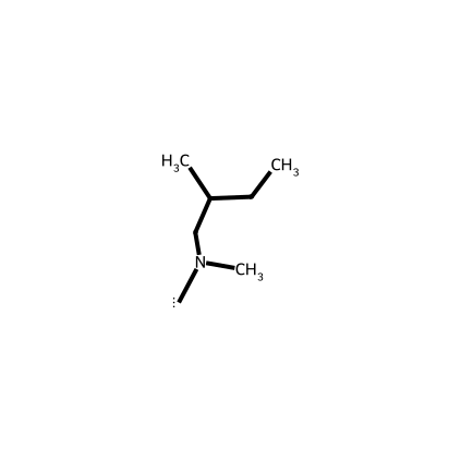 [C]N(C)CC(C)CC